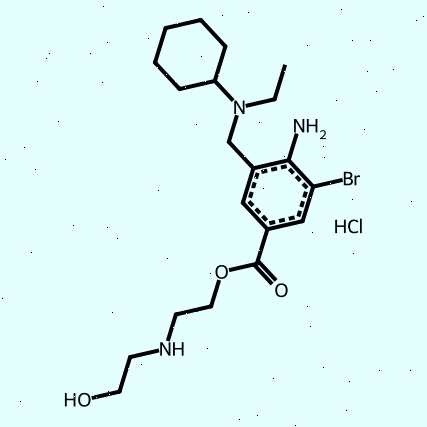 CCN(Cc1cc(C(=O)OCCNCCO)cc(Br)c1N)C1CCCCC1.Cl